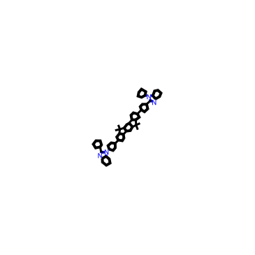 CC1(C)c2cc(-c3ccc(-c4nc5ccccc5n4-c4ccccc4)cc3)ccc2-c2cc3c(cc21)-c1ccc(-c2ccc(-n4c(-c5ccccc5)nc5ccccc54)cc2)cc1C3(C)C